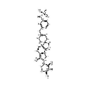 CS(=O)(=O)Nc1cccc(CN2CCC3(CC2)COc2c3ccc3c2CN(C2CCC(=O)NC2=O)C3=O)c1